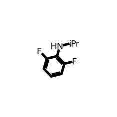 CC(C)Nc1c(F)cccc1F